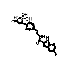 O=C1C=C(c2ccc(CCNC(=O)c3cc4cc(F)ccc4[nH]3)cc2)S(O)(O)N1